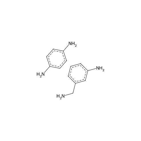 NCc1cccc(N)c1.Nc1ccc(N)cc1